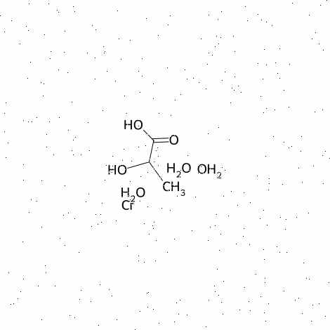 CC(O)C(=O)O.O.O.O.[Cr]